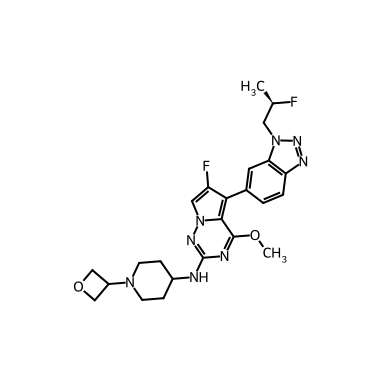 COc1nc(NC2CCN(C3COC3)CC2)nn2cc(F)c(-c3ccc4nnn(C[C@@H](C)F)c4c3)c12